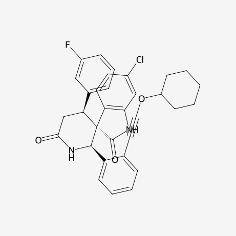 O=C1C[C@@H](c2cccc(F)c2)[C@]2(C(=O)Nc3cc(Cl)ccc32)[C@@H](c2ccccc2C#COC2CCCCC2)N1